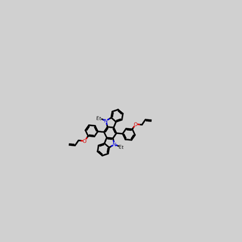 C=CCOc1cccc(-c2c3c4ccccc4n(CC)c3c(-c3cccc(OCC=C)c3)c3c4ccccc4n(CC)c23)c1